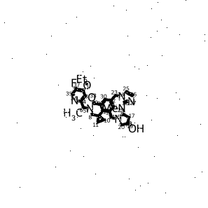 CCOc1cc(C(C)N2CC3(CC3)c3c(CN4CC[C@@H](O)C4)cc(Cn4ccnc4NC)cc3C2=O)ncc1F